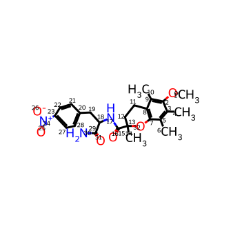 COc1c(C)c(C)c2c(c1C)CCC(C)(C(=O)NC(Cc1ccc([N+](=O)[O-])cc1)C(N)=O)O2